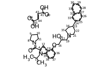 CC(C)n1c(C(=O)N2CCCC2)cc2c(OC[C@@H](O)CN3CCC(c4ccc5ccccc5c4)CC3)cccc21.O=C(O)C=CC(=O)O